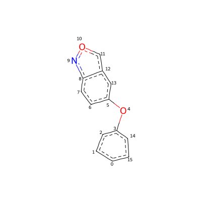 c1ccc(Oc2ccc3nocc3c2)cc1